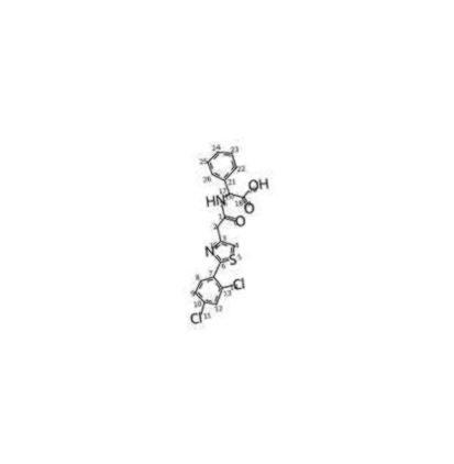 O=C(Cc1csc(-c2ccc(Cl)cc2Cl)n1)N[C@H](C(=O)O)c1ccccc1